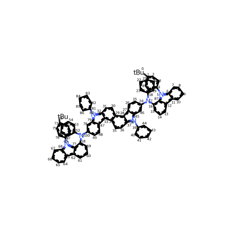 CC(C)(C)c1ccc(-n2c3ccccc3c3cccc(N(c4ccccc4)c4ccc5c6c7ccc8c(c7ccc6n(-c6ccccc6)c5c4)c4ccc(N(c5ccccc5)c5cccc6c7ccccc7n(-c7ccc(C(C)(C)C)cc7)c56)cc4n8-c4ccccc4)c32)cc1